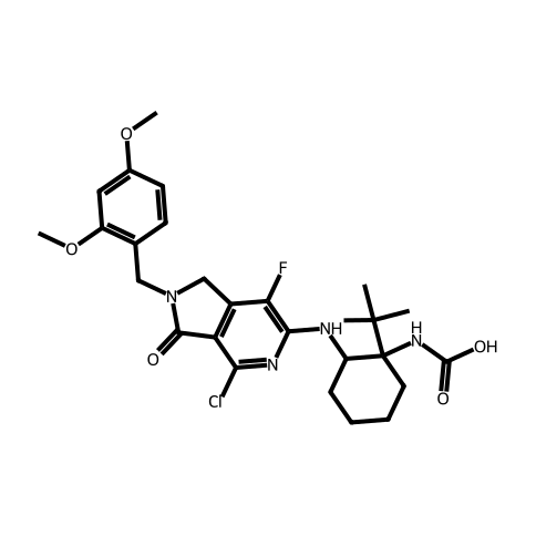 COc1ccc(CN2Cc3c(F)c(NC4CCCCC4(NC(=O)O)C(C)(C)C)nc(Cl)c3C2=O)c(OC)c1